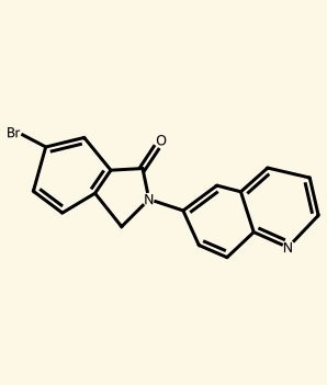 O=C1c2cc(Br)ccc2CN1c1ccc2ncccc2c1